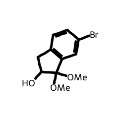 COC1(OC)c2cc(Br)ccc2CC1O